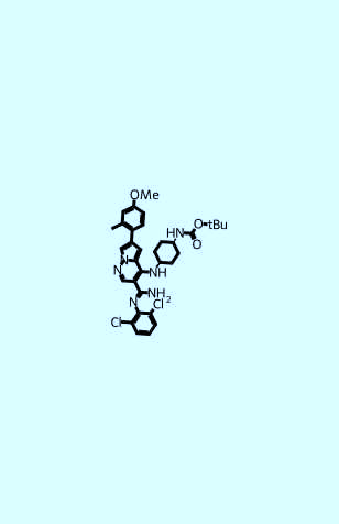 COc1ccc(-c2cc3c(N[C@H]4CC[C@H](NC(=O)OC(C)(C)C)CC4)c(/C(N)=N/c4c(Cl)cccc4Cl)cnn3c2)c(C)c1